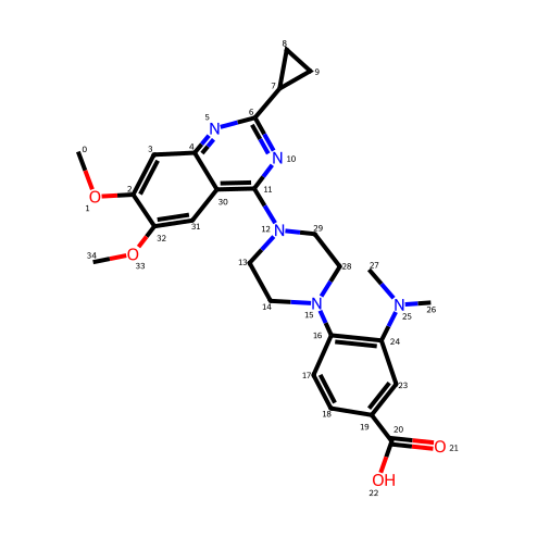 COc1cc2nc(C3CC3)nc(N3CCN(c4ccc(C(=O)O)cc4N(C)C)CC3)c2cc1OC